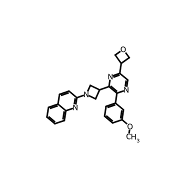 COc1cccc(-c2ncc(C3COC3)nc2C2CN(c3ccc4ccccc4n3)C2)c1